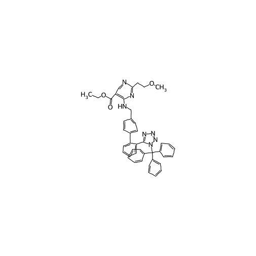 CCOC(=O)c1cnc(CCOC)nc1NCc1ccc(-c2ccccc2-c2nnnn2C(c2ccccc2)(c2ccccc2)c2ccccc2)cc1